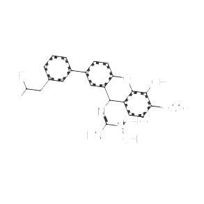 COc1ccc2c(c1C)Oc1ccc(-c3cccc(CC(F)F)c3)cc1C2/N=C(/N)N(C)C=O